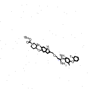 Cc1cc(N(N)/C(N)=C\COCc2cc3cc(OC4CCN(C(=O)OC(C)(C)C)CC4)c(Br)cc3[nH]2)ccc1Oc1ccccc1F